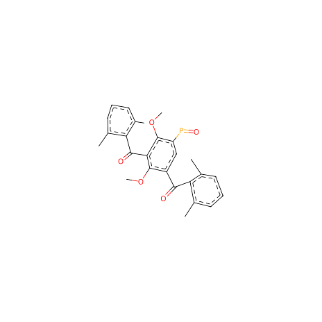 COc1c(P=O)cc(C(=O)c2c(C)cccc2C)c(OC)c1C(=O)c1c(C)cccc1C